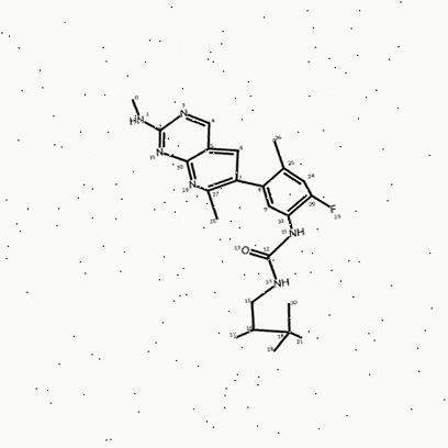 CNc1ncc2cc(-c3cc(NC(=O)NCC(C)C(C)(C)C)c(F)cc3C)c(C)nc2n1